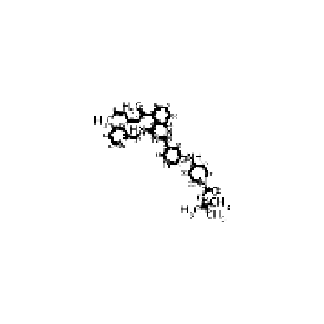 C=C(/C=C\C=C/C)c1cccc2nc(-c3cncc(NC4CCN(C(=O)OC(C)(C)C)CC4)c3)nc(NCc3ccccn3)c12